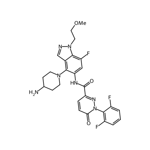 COCCn1ncc2c(N3CCC(N)CC3)c(NC(=O)c3ccc(=O)n(-c4c(F)cccc4F)n3)cc(F)c21